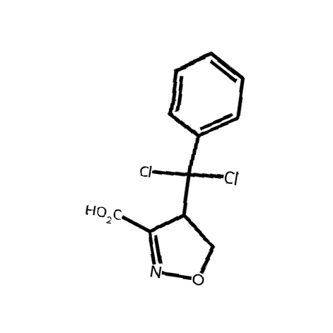 O=C(O)C1=NOCC1C(Cl)(Cl)c1ccccc1